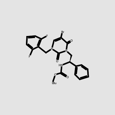 CC(C)(C)OC(=O)N[C@@H](Cn1c(=O)c(Br)cn(Cc2c(F)cccc2F)c1=O)c1ccccc1